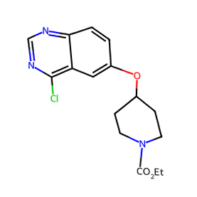 CCOC(=O)N1CCC(Oc2ccc3ncnc(Cl)c3c2)CC1